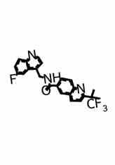 CC(C)(c1ccc2cc(C(=O)NCc3ccnc4ccc(F)cc34)ccc2n1)C(F)(F)F